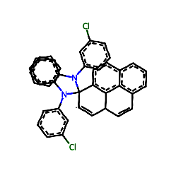 Clc1cccc(N(c2ccccc2)C2(N(c3ccccc3)c3cccc(Cl)c3)[C]=CC3C=Cc4cccc5ccc2c3c45)c1